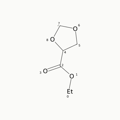 CCOC(=O)C1CO[CH]O1